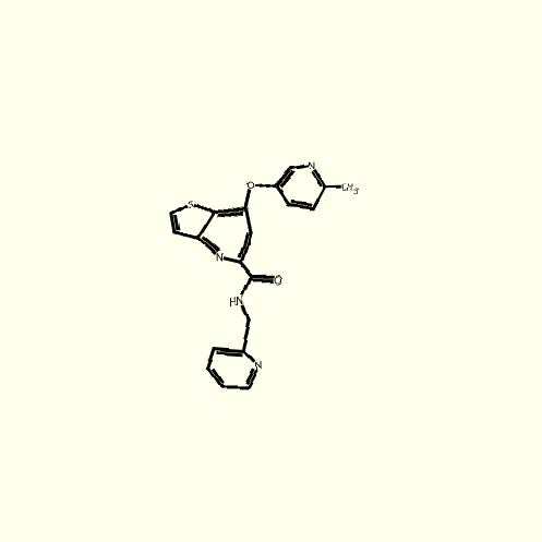 Cc1ccc(Oc2cc(C(=O)NCc3ccccn3)nc3ccsc23)cn1